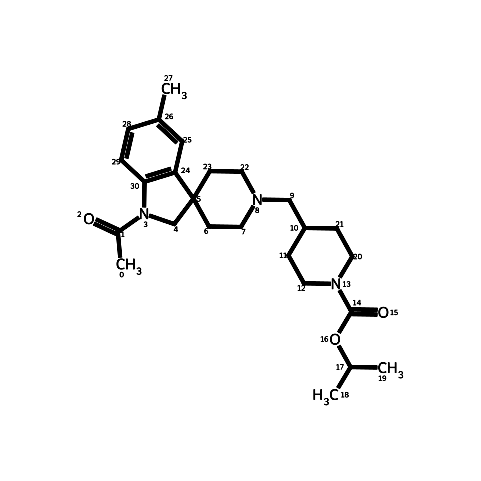 CC(=O)N1CC2(CCN(CC3CCN(C(=O)OC(C)C)CC3)CC2)c2cc(C)ccc21